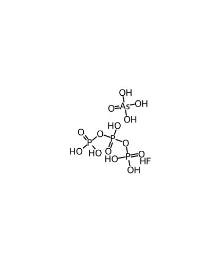 F.O=P(O)(O)OP(=O)(O)OP(=O)(O)O.O=[As](O)(O)O